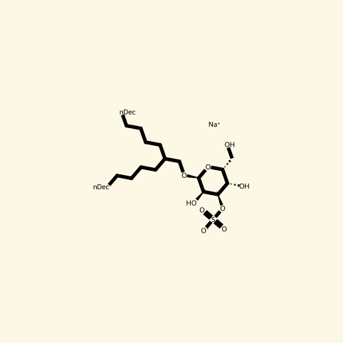 CCCCCCCCCCCCCCC(CCCCCCCCCCCCCC)CO[C@H]1O[C@H](CO)[C@H](O)[C@@H](OS(=O)(=O)[O-])[C@H]1O.[Na+]